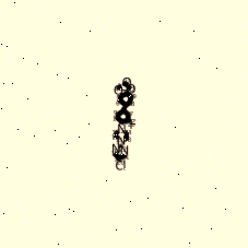 O=S1(=O)COc2cc(-c3ccc(N4CCN(c5ncc(Cl)cn5)CC4)c(F)c3)ccc21